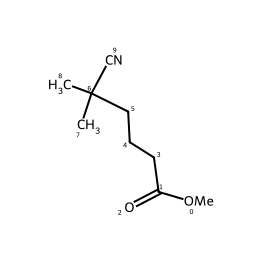 COC(=O)CCCC(C)(C)C#N